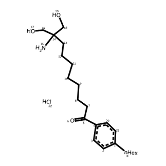 CCCCCCc1ccc(C(=O)CCCCCCCC(N)(CO)CO)cc1.Cl